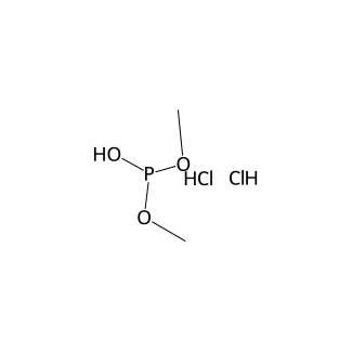 COP(O)OC.Cl.Cl